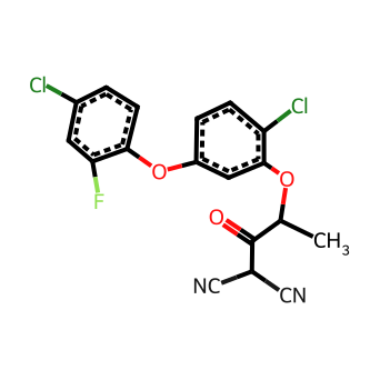 CC(Oc1cc(Oc2ccc(Cl)cc2F)ccc1Cl)C(=O)C(C#N)C#N